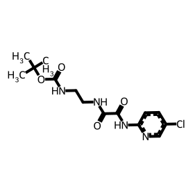 CC(C)(C)OC(=O)NCCNC(=O)C(=O)Nc1ccc(Cl)cn1